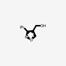 CC(C)c1nocc1CO